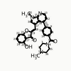 CN1CCN(C(=O)c2ccc(-c3ccnc4c3c(/C=C3\Oc5cccc(O)c5C3=O)cn4C)cc2)CC1